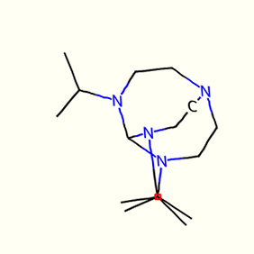 CC(C)N1CCN2CCN(C(C)C)C1N(C(C)C)CC2